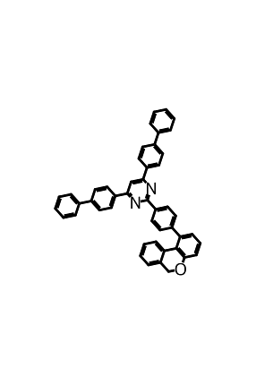 c1ccc(-c2ccc(-c3cc(-c4ccc(-c5ccccc5)cc4)nc(-c4ccc(-c5cccc6c5-c5ccccc5CO6)cc4)n3)cc2)cc1